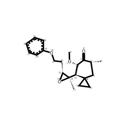 CO[C@@H]1C(=O)[C@H](C)CC2(CC2)[C@H]1[C@@]1(C)O[C@@H]1CCOc1ccccc1